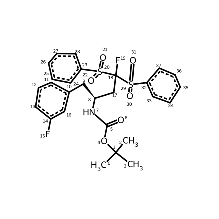 CC(C)(C)OC(=O)N[C@@H](Cc1cccc(F)c1)CC(F)(S(=O)(=O)c1ccccc1)S(=O)(=O)c1ccccc1